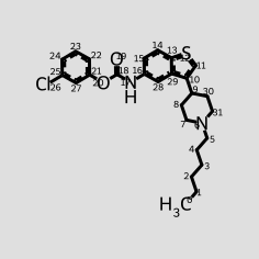 CCCCCCN1CCC(c2csc3ccc(NC(=O)Oc4cccc(Cl)c4)cc23)CC1